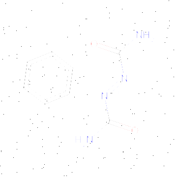 NC(=O)/N=N/C(N)=O.c1ccccc1